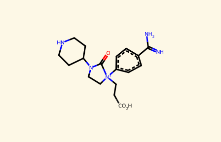 N=C(N)c1ccc([N+]2(CCC(=O)O)CCN(C3CCNCC3)C2=O)cc1